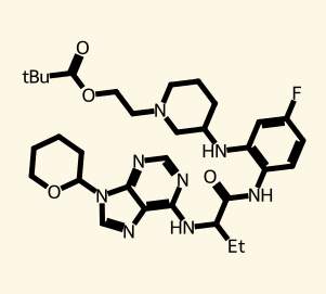 CCC(Nc1ncnc2c1ncn2C1CCCCO1)C(=O)Nc1ccc(F)cc1NC1CCCN(CCOC(=O)C(C)(C)C)C1